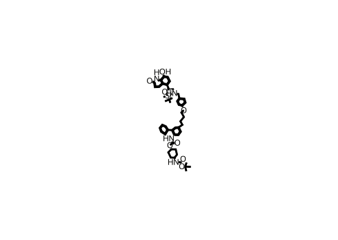 CC(C)(C)OC(=O)NC1CCC(OC(=O)Nc2ccc(CCCCOc3ccc(CNC[C@@H](O[Si](C)(C)C(C)(C)C)c4ccc(O)c5[nH]c(=O)ccc45)cc3)cc2-c2ccccc2)CC1